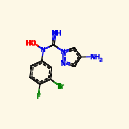 N=C(N(O)c1ccc(F)c(Br)c1)n1cc(N)cn1